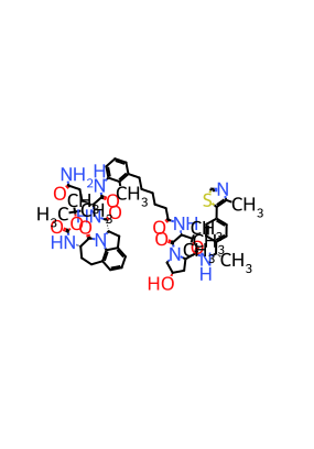 Cc1ncsc1-c1ccc([C@H](C)NC(=O)C2C[C@@H](O)CN2C(=O)[C@@H](NC(=O)CCCCCc2cccc(NC(=O)[C@H](CCC(N)=O)NC(=O)[C@@H]3Cc4cccc5c4N3C(=O)[C@@H](NC(=O)OC(C)(C)C)CC5)c2C)C(C)(C)C)cc1